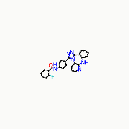 O=C(Nc1ccc(-c2nnc3n2-c2cccnc2Nc2ccccc2-3)cc1)c1ccccc1F